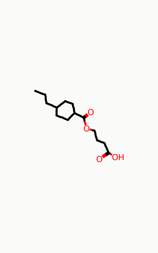 CCCC1CCC(C(=O)OCCCC(=O)O)CC1